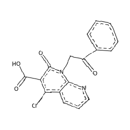 O=C(Cn1c(=O)c(C(=O)O)c(Cl)c2cccnc21)c1ccccc1